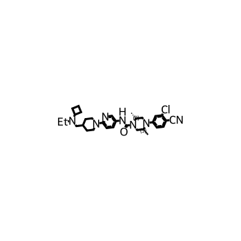 CCN(CC1CCN(c2ccc(NC(=O)N3C[C@H](C)N(c4ccc(C#N)c(Cl)c4)C[C@H]3C)cn2)CC1)C1CCC1